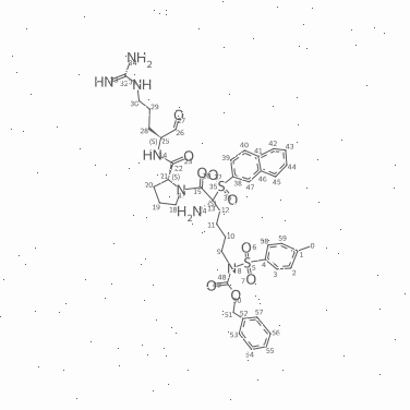 Cc1ccc(S(=O)(=O)N(CCCC[C@@](N)(C(=O)N2CCC[C@H]2C(=O)N[C@H](C=O)CCCNC(=N)N)S(=O)(=O)c2ccc3ccccc3c2)C(=O)OCc2ccccc2)cc1